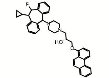 O[C@@H](COc1cccc2c1ccc1ccccc12)CN1CCN(C2c3ccccc3C(F)C(C3CC3)c3ccccc32)CC1